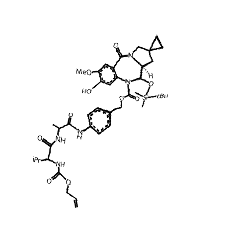 C=CCOC(=O)NC(C(=O)NC(C)C(=O)Nc1ccc(COC(=O)N2c3cc(O)c(OC)cc3C(=O)N3CC4(CC4)C[C@H]3C2O[Si](C)(C)C(C)(C)C)cc1)C(C)C